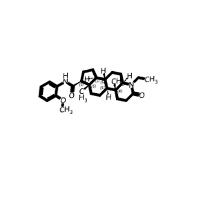 CCN1C(=O)CC[C@]2(C)[C@H]3CC[C@]4(C)[C@@H](C(=O)Nc5ccccc5OC)CC[C@H]4[C@@H]3CC[C@@H]12